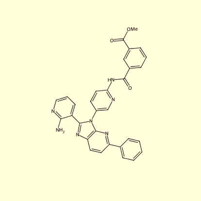 COC(=O)c1cccc(C(=O)Nc2ccc(-n3c(-c4cccnc4N)nc4ccc(-c5ccccc5)nc43)cn2)c1